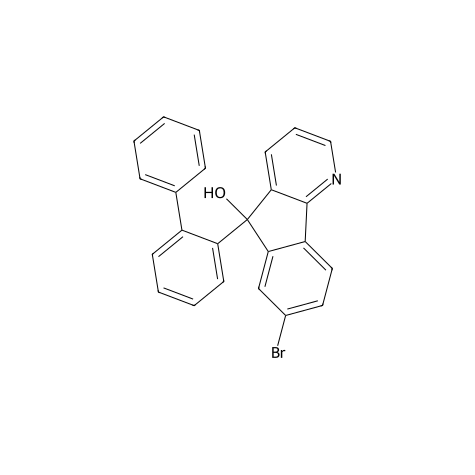 OC1(c2ccccc2-c2ccccc2)c2cc(Br)ccc2-c2ncccc21